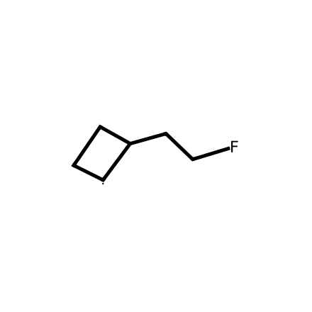 FCCC1[CH]CC1